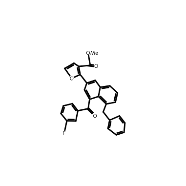 COC(=O)c1ccoc1-c1cc(C(=O)c2cccc(F)c2)c2c(Cc3ccccc3)cccc2c1